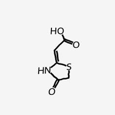 O=C(O)C=C1NC(=O)CS1